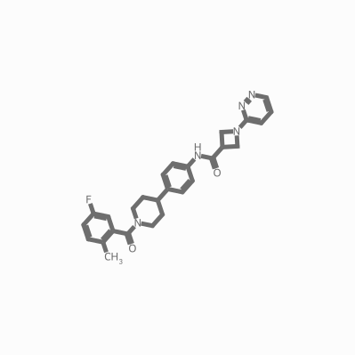 Cc1ccc(F)cc1C(=O)N1CCC(c2ccc(NC(=O)C3CN(c4cccnn4)C3)cc2)CC1